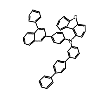 c1ccc(-c2ccc(-c3cccc(N(c4ccc(-c5cc(-c6ccccc6)c6ccccc6c5)cc4)c4cccc5oc6ccccc6c45)c3)cc2)cc1